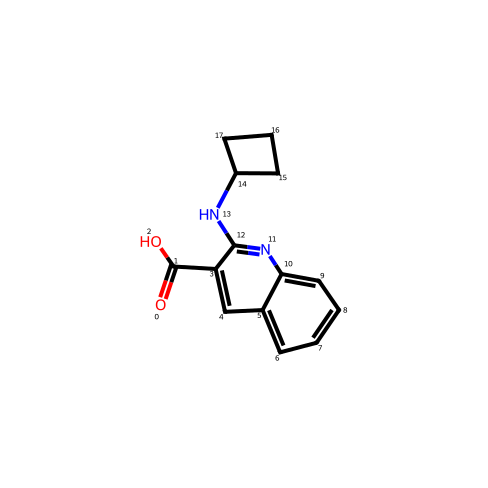 O=C(O)c1cc2ccccc2nc1NC1CCC1